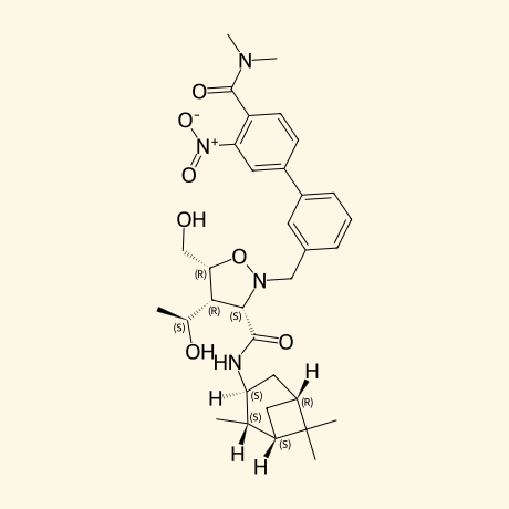 C[C@@H]1[C@@H](NC(=O)[C@@H]2[C@H]([C@H](C)O)[C@H](CO)ON2Cc2cccc(-c3ccc(C(=O)N(C)C)c([N+](=O)[O-])c3)c2)C[C@H]2C[C@@H]1C2(C)C